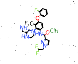 Cl.NC[C@H]1CN(c2c(NC(=O)c3ccn(CC(F)F)n3)ccc(Oc3ccccc3F)c2C(F)(F)F)CCN1